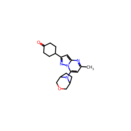 Cc1cc(N2C3CCC2COC3)n2nc(C3CCC(=O)CC3)cc2n1